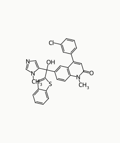 Cn1cncc1C(O)(c1ccc2c(c1)c(-c1cccc(Cl)c1)cc(=O)n2C)c1cc2ccccc2s1